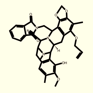 C=CCOc1c(C)c2c(c3c1C[C@H]1C4c5c(cc(C)c(OC)c5O)CC(C(C#N)N1C3CN1C(=O)c3ccccc3C1=O)N4C)OCO2